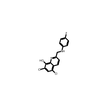 Oc1c(Cl)cc(Cl)c2ccc(CNc3ccc(F)cc3)nc12